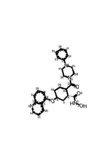 O=C(NO)[C@@H]1CC(Oc2cccc3ncccc23)CCC1C(=O)N1CCN(c2ccccc2)CC1